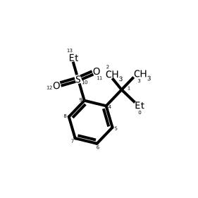 CCC(C)(C)c1ccccc1S(=O)(=O)CC